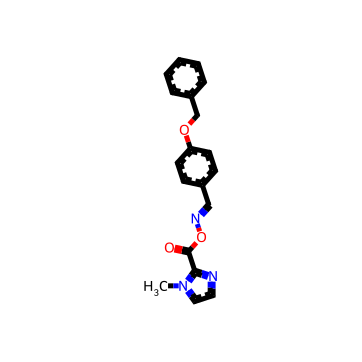 Cn1ccnc1C(=O)ON=Cc1ccc(OCc2ccccc2)cc1